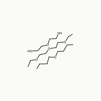 CCCCOCCCC.CCOCCOCCOCC.OCCOCCO